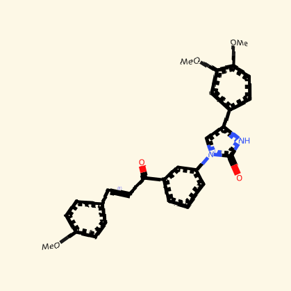 COc1ccc(/C=C/C(=O)c2cccc(-n3cc(-c4ccc(OC)c(OC)c4)[nH]c3=O)c2)cc1